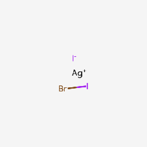 BrI.[Ag+].[I-]